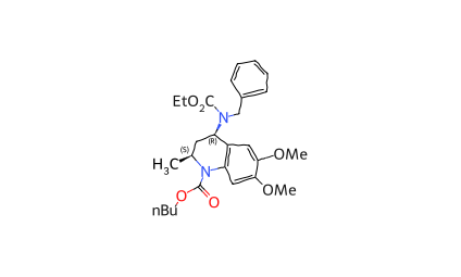 CCCCOC(=O)N1c2cc(OC)c(OC)cc2[C@H](N(Cc2ccccc2)C(=O)OCC)C[C@@H]1C